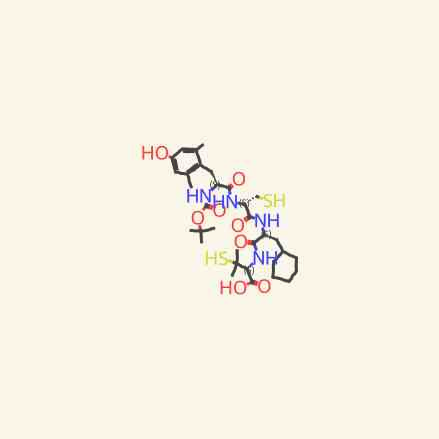 Cc1cc(O)cc(C)c1C[C@H](NC(=O)OC(C)(C)C)C(=O)N[C@H](CS)C(=O)N[C@@H](CC1CCCCC1)C(=O)N[C@@H](C(=O)O)C(C)(C)S